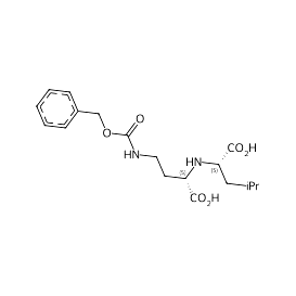 CC(C)C[C@H](N[C@@H](CCNC(=O)OCc1ccccc1)C(=O)O)C(=O)O